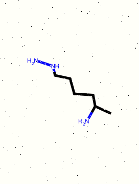 CC(N)CCCCNN